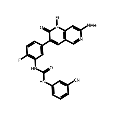 CCn1c(=O)c(-c2ccc(F)c(NC(=O)Nc3cccc(C#N)c3)c2)cc2cnc(NC)cc21